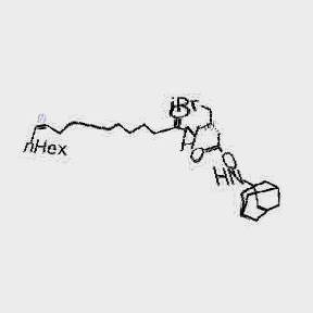 CCCCCC/C=C\CCCCCCCC(=O)N[C@@H](CC(=O)ONC12CC3CC(CC(C3)C1)C2)CC(C)C